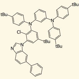 CC(C)(C)c1ccc(N(c2ccc(C(C)(C)C)cc2)c2cccc(N(c3ccc(C(C)(C)C)cc3)c3cc(C(C)(C)C)cc(-n4cnc5ccc(-c6ccccc6)cc54)c3Cl)c2)cc1